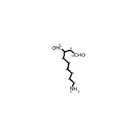 NCCCCCCC([C]=O)C[C]=O